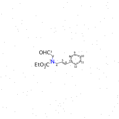 CCOC(=O)N(CC=O)CC=Cc1ccccc1